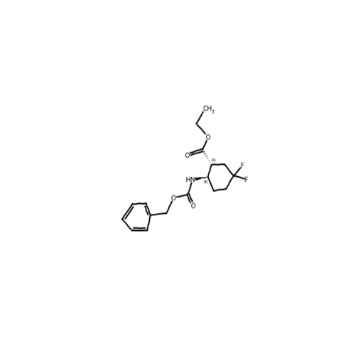 CCOC(=O)[C@@H]1CC(F)(F)CC[C@H]1NC(=O)OCc1ccccc1